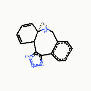 C[C@@]12C=CC=CC1c1[nH]nnc1-c1ccccc1CN2